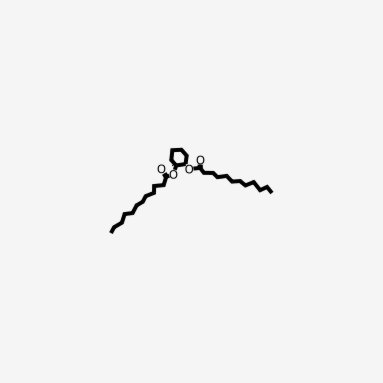 CCCCCCCCCCCC(=O)O[C]1CCCCC1OC(=O)CCCCCCCCCCC